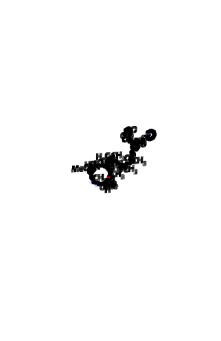 COc1cc2cc(c1Cl)N(C)C(=O)C[C@H](OC(=O)[C@H](C)N(C)C(=O)CCSC(=O)N(C)CCN(C)C(=O)OCc1ccc(NC(=O)OC3/C=C/CCCCC3)c(NCC(=O)ON3C(=O)CCC3=O)c1)[C@]1(C)OC1[C@H](C)[C@@H]1C[C@@](O)(NC(=O)O1)[C@H](OC)/C=C/C=C(\C)C2